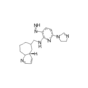 N=Nc1ccc(N2C=NCC2)nc1NCC1CCCC2N=CC=C[C@H]2C1